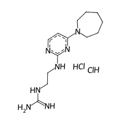 Cl.Cl.N=C(N)NCCNc1nccc(N2CCCCCC2)n1